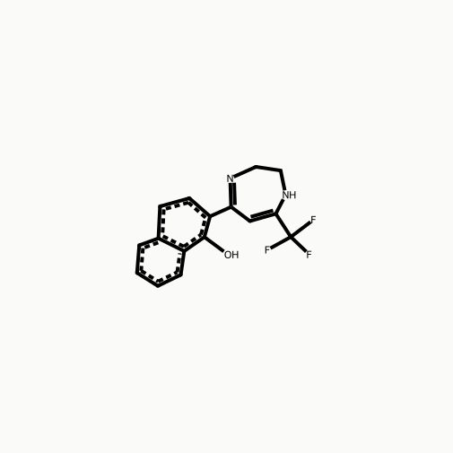 Oc1c(C2=NCCNC(C(F)(F)F)=C2)ccc2ccccc12